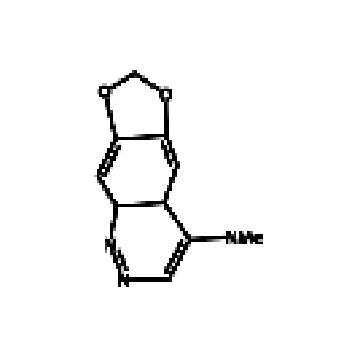 CNC1=CN=NC2C=C3OCOC3=CC12